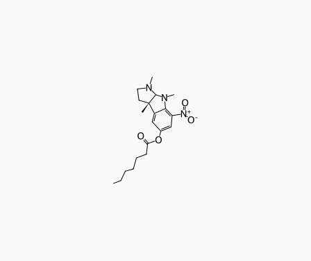 CCCCCCC(=O)Oc1cc([N+](=O)[O-])c2c(c1)[C@]1(C)CCN(C)C1N2C